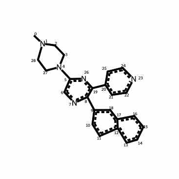 CN1CCN(c2cnc(-c3ccc4ccccc4c3)c(-c3ccncc3)n2)CC1